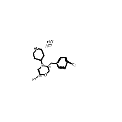 CC(C)[C@H]1CN(C2CCNCC2)[C@@H](Cc2ccc(Cl)cc2)CO1.Cl.Cl